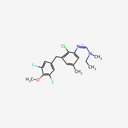 CCN(C)/C=N\c1cc(C)cc(Cc2cc(F)c(OC)c(F)c2)c1Cl